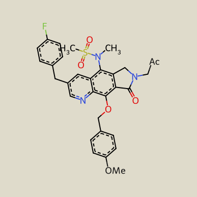 COc1ccc(COc2c3c(c(N(C)S(C)(=O)=O)c4cc(Cc5ccc(F)cc5)cnc24)CN(CC(C)=O)C3=O)cc1